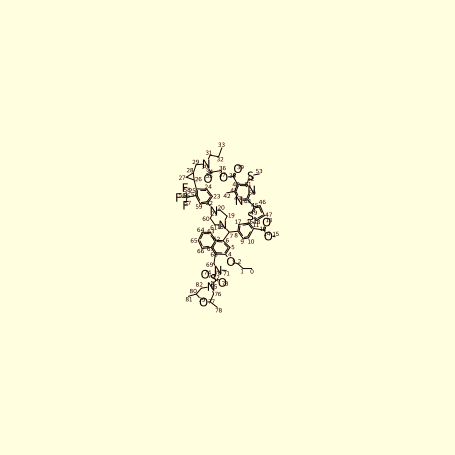 CCCOc1cc(C(c2ccc(C(=O)OC)cc2)N2CCN(c3ccc(C4CC4CN(CCC)C(=O)COC(=O)c4c(C)nc(-c5cccs5)nc4SC)c(C(F)(F)F)c3)CC2)c2ccccc2c1CN(C)S(=O)(=O)N1CC(C)OC(C)C1